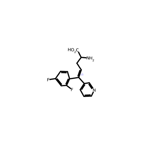 NC(C/C=C(/c1cccnc1)c1ccc(F)cc1F)C(=O)O